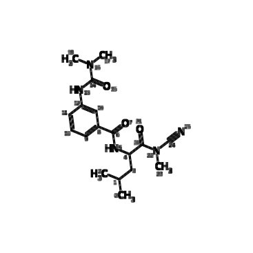 CC(C)CC(NC(=O)c1cccc(NC(=O)N(C)C)c1)C(=O)N(C)C#N